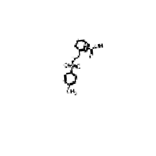 Cc1ccc(S(=O)(=O)OCC23CCC(CC2)N3C(=O)O)cc1